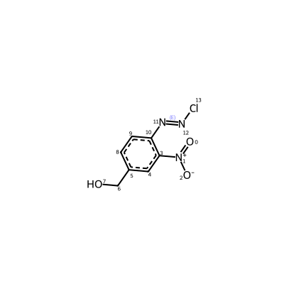 O=[N+]([O-])c1cc(CO)ccc1/N=N/Cl